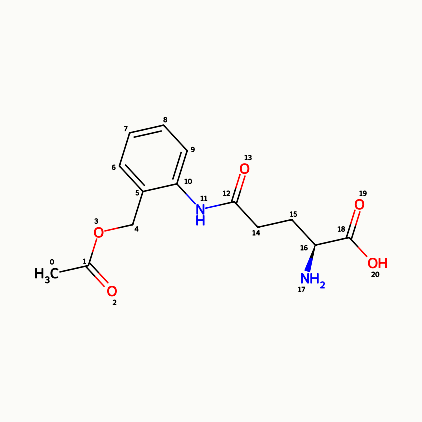 CC(=O)OCc1ccccc1NC(=O)CC[C@H](N)C(=O)O